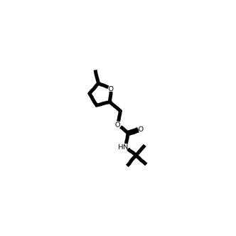 CC1CCC(COC(=O)NC(C)(C)C)O1